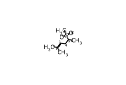 CC(C)=CCC(C)S(C)(=O)=O